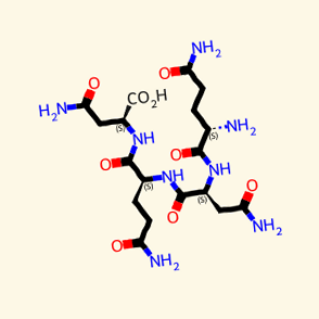 NC(=O)CC[C@H](NC(=O)[C@H](CC(N)=O)NC(=O)[C@@H](N)CCC(N)=O)C(=O)N[C@@H](CC(N)=O)C(=O)O